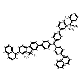 CC1(C)c2ccccc2Oc2ccc(-c3ccc(N(c4ccc(-c5ccc6c(c5)C(C)(C)c5cc(-c7cccc8ccccc78)ccc5-6)cc4)c4ccc(-c5cccc6ccccc56)cc4)cc3)cc21